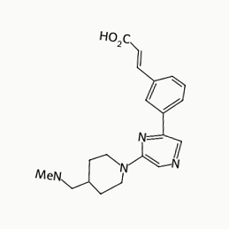 CNCC1CCN(c2cncc(-c3cccc(/C=C/C(=O)O)c3)n2)CC1